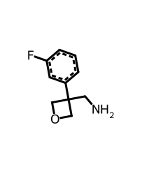 NCC1(c2cccc(F)c2)COC1